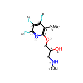 CSc1c(OCC(O)CNC(C)(C)C)nc(F)c(F)c1F